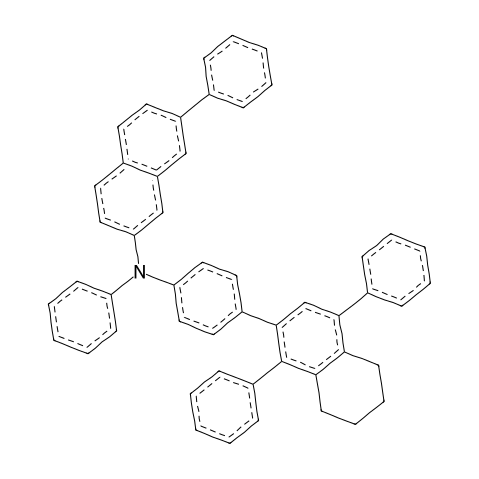 c1ccc(-c2ccc3ccc(N(c4ccccc4)c4ccc(-c5cc(-c6ccccc6)c6c(c5-c5ccccc5)CCCC6)cc4)cc3c2)cc1